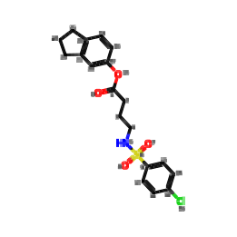 O=C(CCCNS(=O)(=O)c1ccc(Cl)cc1)Oc1ccc2c(c1)CCC2